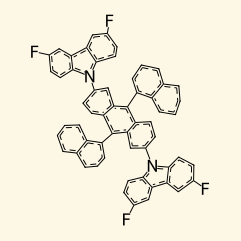 Fc1ccc2c(c1)c1cc(F)ccc1n2-c1ccc2c(-c3cccc4ccccc34)c3cc(-n4c5ccc(F)cc5c5cc(F)ccc54)ccc3c(-c3cccc4ccccc34)c2c1